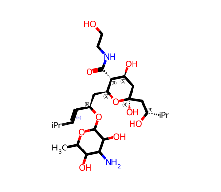 CC(C)/C=C/[C@@H](C[C@@H]1O[C@](O)(C[C@@H](O)C(C)C)C[C@H](O)[C@H]1C(=O)NCCO)OC1OC(C)C(O)C(N)C1O